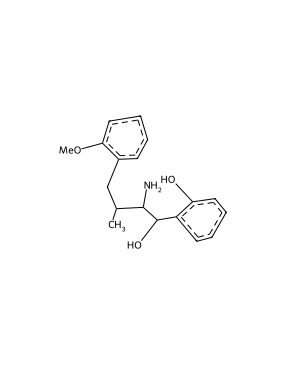 COc1ccccc1CC(C)C(N)C(O)c1ccccc1O